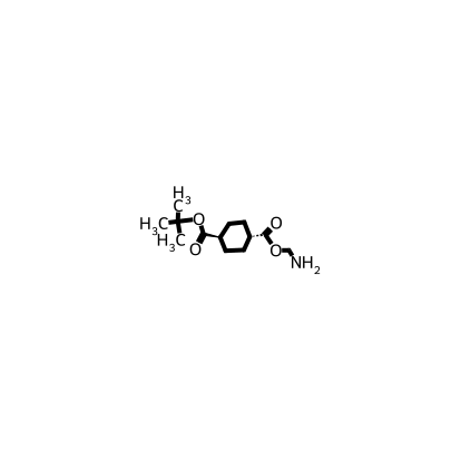 CC(C)(C)OC(=O)[C@H]1CC[C@H](C(=O)OCN)CC1